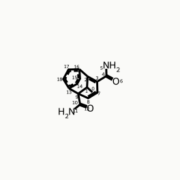 CC1C2=C(C(N)=O)C=CC1(C(N)=O)c1ccc2cc1